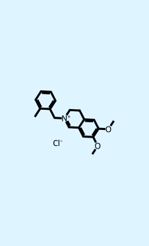 COc1cc2c(cc1OC)CC[N+](Cc1ccccc1C)=C2.[Cl-]